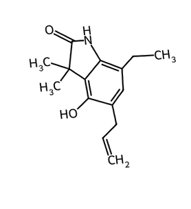 C=CCc1cc(CC)c2c(c1O)C(C)(C)C(=O)N2